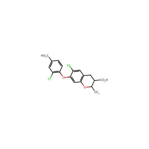 O=C(O)c1ccc(Oc2cc3c(cc2Cl)CC(C(=O)O)C(C(F)(F)F)O3)c(Cl)c1